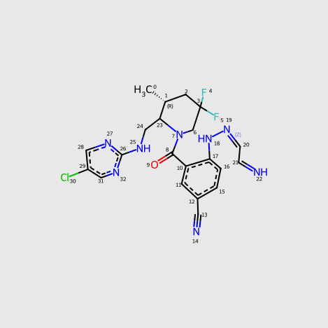 C[C@@H]1CC(F)(F)CN(C(=O)c2cc(C#N)ccc2N/N=C\C=N)C1CNc1ncc(Cl)cn1